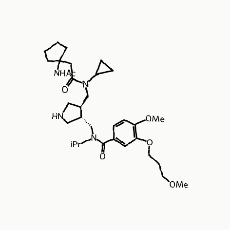 COCCCOc1cc(C(=O)N(C[C@@H]2CNC[C@H]2CN(C(=O)CC2(NC(C)=O)CCCC2)C2CC2)C(C)C)ccc1OC